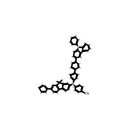 CC1(C)c2cc(-c3ccccc3)ccc2-c2ccc(N(c3ccc(C#N)cc3)c3ccc(-c4ccc(-c5ccc6c(c5)c5ccccc5n6-c5ccccc5)cc4)cc3)cc21